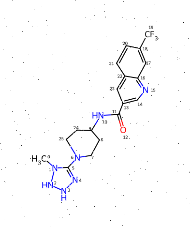 CN1NNN=C1N1CCC(NC(=O)c2cnc3cc(C(F)(F)F)ccc3c2)CC1